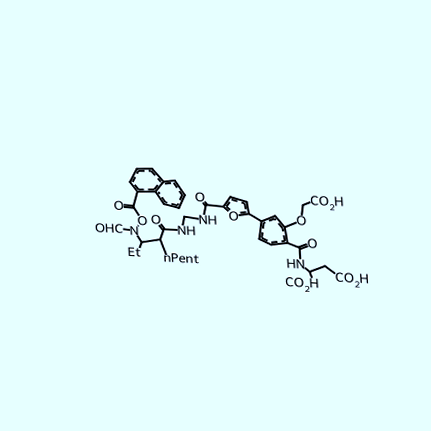 CCCCCC(C(=O)NCNC(=O)c1ccc(-c2ccc(C(=O)NC(CC(=O)O)C(=O)O)c(OCC(=O)O)c2)o1)C(CC)N(C=O)OC(=O)c1cccc2ccccc12